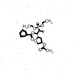 CCOP(=O)(OCC)C(F)C(OC(=O)c1ccccc1)[C@@H]1C[C@@H](OC(C)=O)CO1